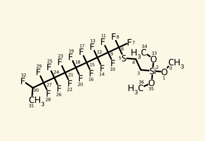 CO[Si](CCSC(F)(F)C(F)(F)C(F)(F)C(F)(F)C(F)(F)C(F)(F)C(F)(F)C(F)(F)C(C)F)(OC)OC